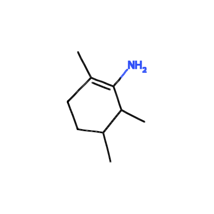 CC1=C(N)C(C)C(C)CC1